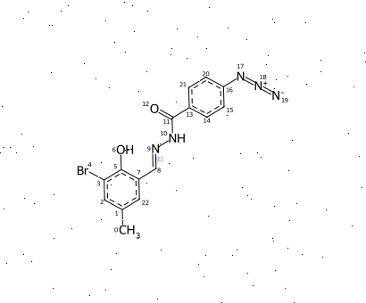 Cc1cc(Br)c(O)c(/C=N/NC(=O)c2ccc(N=[N+]=[N-])cc2)c1